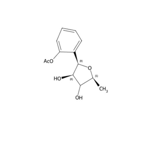 CC(=O)Oc1ccccc1[C@H]1O[C@@H](C)C(O)[C@H]1O